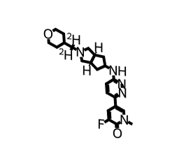 [2H]C([2H])(C1CCOCC1)N1C[C@H]2CC(Nc3ccc(-c4cc(F)c(=O)n(C)c4)nn3)C[C@H]2C1